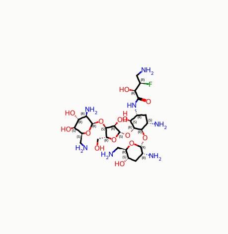 NC[C@@H](F)[C@H](O)C(=O)N[C@@H]1C[C@H](N)[C@@H](O[C@H]2O[C@H](CN)[C@@H](O)C[C@H]2N)[C@H](O[C@@H]2O[C@H](CO)[C@@H](O[C@H]3O[C@@H](CN)[C@@H](O)[C@H](O)[C@H]3N)[C@H]2O)[C@H]1O